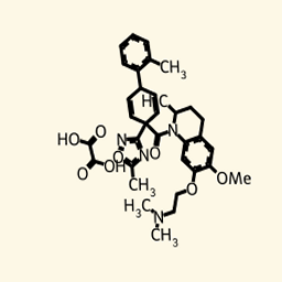 COc1cc2c(cc1OCCN(C)C)N(C(=O)C1(c3noc(C)n3)C=CC(c3ccccc3C)C=C1)C(C)CC2.O=C(O)C(=O)O